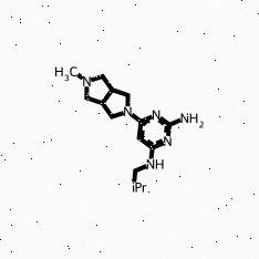 CC(C)CNc1cc(N2CC3CN(C)CC3C2)nc(N)n1